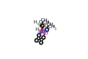 C=NNC(Oc1ccc(C(C)(C)C)cc1)c1ccc2c(c1)C1(c3ccccc3-2)c2ccccc2-c2ccc(C3NNC(c4ccc(C(C)(C)C)cc4)O3)cc21